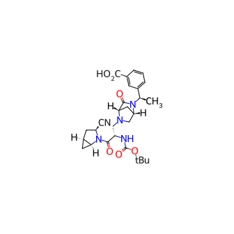 C[C@H](c1cccc(C(=O)O)c1)N1C(=O)[C@@H]2C[C@H]1CN2C[C@H](NC(=O)OC(C)(C)C)C(=O)N1[C@H](C#N)C[C@@H]2C[C@@H]21